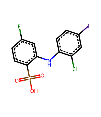 O=S(=O)(O)c1ccc(F)cc1Nc1ccc(I)cc1Cl